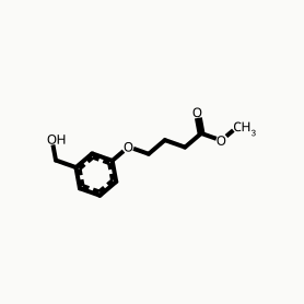 COC(=O)CCCOc1cccc(CO)c1